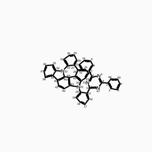 c1ccc(-c2nc(-c3ccccc3)nc(-c3ccccc3-n3c4cccc5c6ccccc6n6c7ccccc7c7ccc3c(c54)c76)n2)cc1